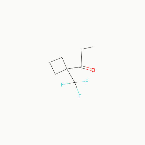 CCC(=O)C1(C(F)(F)F)CCC1